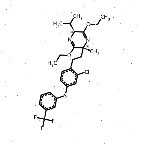 CCOC1=N[C@](C)(CCc2ccc(Sc3cccc(C(F)(F)F)c3)cc2Cl)C(OCC)=N[C@H]1C(C)C